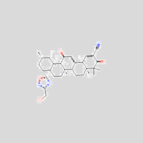 C[C@@H]1[C@H]2[C@H]3C(=O)C=C4[C@@]5(C)C=C(C#N)C(=O)C(C)(C)[C@@H]5CC[C@@]4(C)[C@]3(C)CC[C@@]2(c2nc(CO)no2)CC[C@H]1C